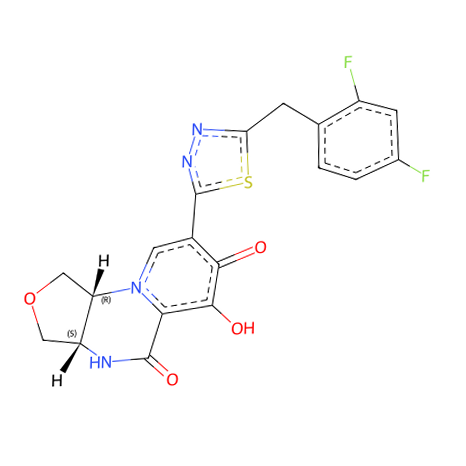 O=C1N[C@@H]2COC[C@@H]2n2cc(-c3nnc(Cc4ccc(F)cc4F)s3)c(=O)c(O)c21